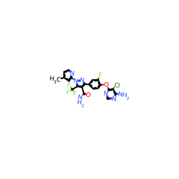 Cc1ccnc(-n2nc(-c3ccc(Oc4ncnc(N)c4Cl)c(F)c3)c(C(N)=O)c2C(F)(F)F)c1